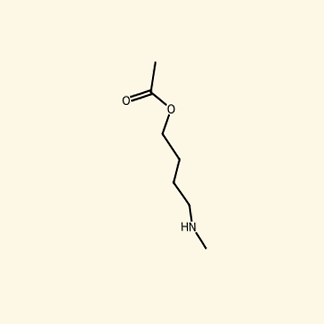 CNCCCCOC(C)=O